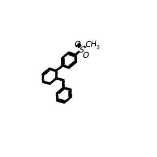 CS(=O)(=O)c1ccc(C2C=CCCC2Cc2ccccc2)cc1